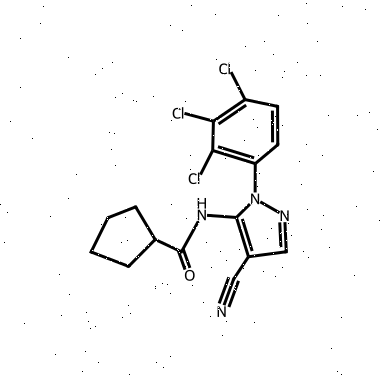 N#Cc1cnn(-c2ccc(Cl)c(Cl)c2Cl)c1NC(=O)C1CCCC1